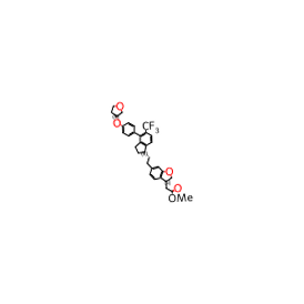 COC(=O)C[C@@H]1COc2cc(CC[C@@H]3CCc4c3ccc(C(F)(F)F)c4-c3ccc(O[C@@H]4CCOC4)cc3)ccc21